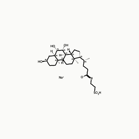 C[C@H](CCC([O-])=NCCS(=O)(=O)O)[C@H]1CC[C@H]2[C@@H]3[C@@H](O)[C@@H](O)[C@@H]4C[C@H](O)CC[C@]4(C)[C@H]3CC[C@]12C.[Na+]